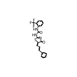 O=C(NC1=NC(=O)C(=CC=Cc2ccccc2)S1)Nc1ccccc1C(F)(F)F